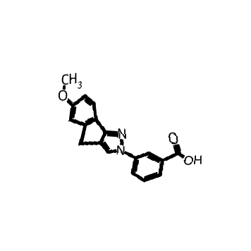 COc1ccc2c(c1)Cc1cn(-c3cccc(C(=O)O)c3)nc1-2